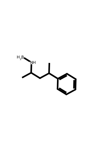 BNC(C)CC(C)c1ccccc1